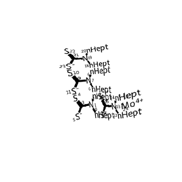 CCCCCCCN(CCCCCCC)C(=S)[S-].CCCCCCCN(CCCCCCC)C(=S)[S-].CCCCCCCN(CCCCCCC)C(=S)[S-].CCCCCCCN(CCCCCCC)C(=S)[S-].[Mo+4]